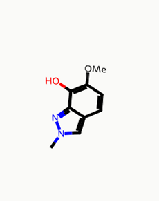 COc1ccc2cn(C)nc2c1O